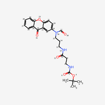 CC(C)(C)OC(=O)NCCC(=O)NCCCN(C=O)c1ccc2oc3ccccc3c(=O)c2c1